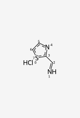 Cl.N=Cc1nccs1